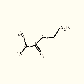 CC(O)C(=O)CCC(=O)O